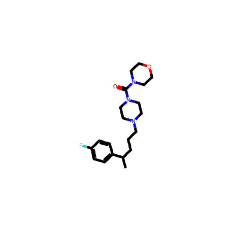 CC(CCCN1CCN(C(=O)N2CCOCC2)CC1)c1ccc(F)cc1